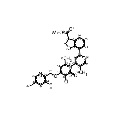 COC(=O)C1COc2c(-c3cc(-n4c(C)cc(OCc5ncc(F)cc5F)c(Cl)c4=O)c(C)cn3)cccc21